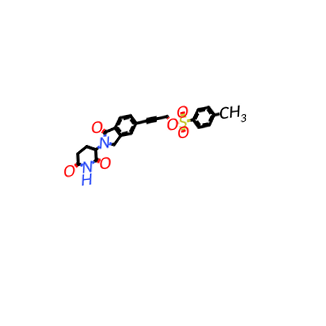 Cc1ccc(S(=O)(=O)OCC#Cc2ccc3c(c2)CN(C2CCC(=O)NC2=O)C3=O)cc1